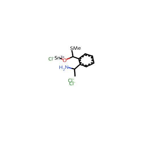 CSC([O][Sn+3])c1ccccc1C(C)N.[Cl-].[Cl-].[Cl-]